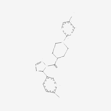 Cc1ccc(C2CC=NN2C(=O)C2CCN(c3ncc(F)cn3)CC2)cn1